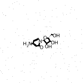 Nc1ccn([C@@H]2O[C@H](CO)C(O)C2O)c(=O)c1